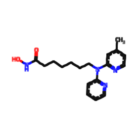 Cc1ccnc(N(CCCCCCC(=O)NO)c2ccccn2)c1